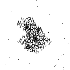 CC(C)(C)c1cc2c(c(C(C)(C)C)c1)OP(=O)([O-])Oc1c(cc(C(C)(C)C)cc1C(C)(C)C)C2O.CC(C)(C)c1cc2c(c(C(C)(C)C)c1)OP(=O)([O-])Oc1c(cc(C(C)(C)C)cc1C(C)(C)C)C2O.CC(C)(C)c1cc2c(c(C(C)(C)C)c1)OP(=O)([O-])Oc1c(cc(C(C)(C)C)cc1C(C)(C)C)C2O.[Al+3]